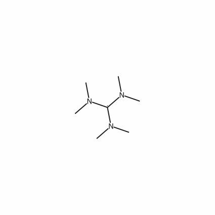 CN(C)[C](N(C)C)N(C)C